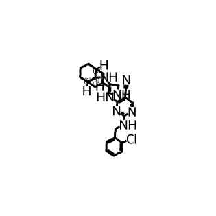 N#Cc1cnc(NCc2ccccc2Cl)nc1NCC1C[C@H]2CCC[C@@H](C1)[C@@H]2NC1CNC1